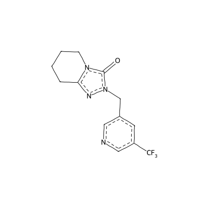 O=c1n(Cc2cncc(C(F)(F)F)c2)nc2n1CCCC2